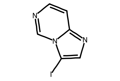 Ic1cnc2ccncn12